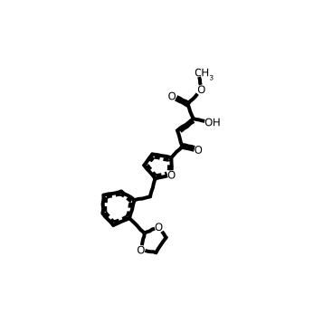 COC(=O)C(O)=CC(=O)c1ccc(Cc2ccccc2C2OCCO2)o1